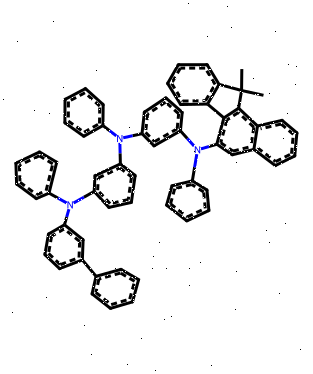 CC1(C)c2ccccc2-c2c(N(c3ccccc3)c3cccc(N(c4ccccc4)c4cccc(N(c5ccccc5)c5cccc(-c6ccccc6)c5)c4)c3)cc3ccccc3c21